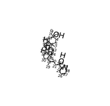 CC[C@]1(O)CC[C@@]2(C)[C@@H](CC[C@@H]3[C@@H]2CC[C@]2(C)[C@@H]([C@H](C)CCC(O)c4ccccn4)CC[C@@H]32)C1